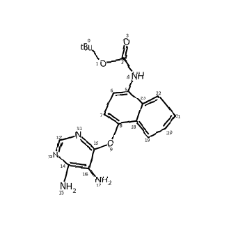 CC(C)(C)OC(=O)Nc1ccc(Oc2ncnc(N)c2N)c2ccccc12